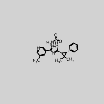 CC1(C)[C@@H](c2ccccc2)[C@@H]1c1nc(-c2cncc(C(F)(F)F)c2)no1.N[SH](=O)=O